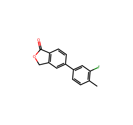 Cc1ccc(-c2ccc3c(c2)COC3=O)cc1F